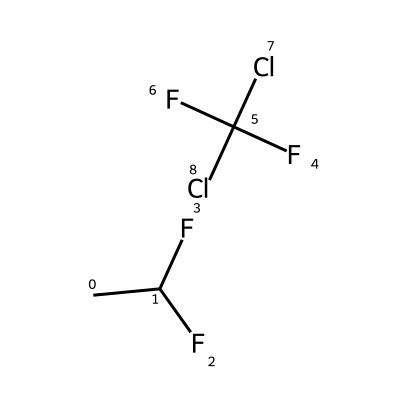 CC(F)F.FC(F)(Cl)Cl